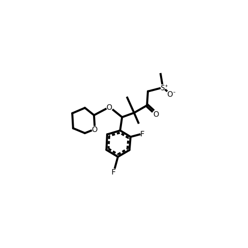 C[S+]([O-])CC(=O)C(C)(C)C(OC1CCCCO1)c1ccc(F)cc1F